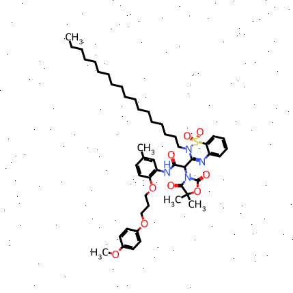 CCCCCCCCCCCCCCCCCCN1C(C(C(=O)Nc2cc(C)ccc2OCCCOc2ccc(OC)cc2)N2C(=O)OC(C)(C)C2=O)=Nc2ccccc2S1(=O)=O